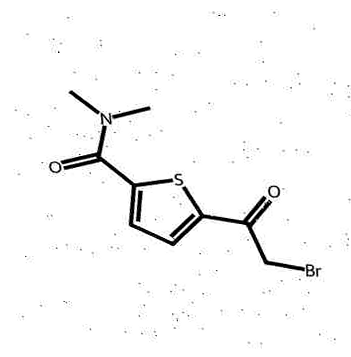 CN(C)C(=O)c1ccc(C(=O)CBr)s1